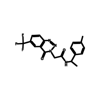 Cc1ccc(C(C)NC(=O)Cn2nnc3ccc(C(F)(F)F)cc3c2=O)cc1